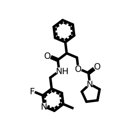 Cc1cnc(F)c(CNC(=O)C(COC(=O)N2CCCC2)c2ccccc2)c1